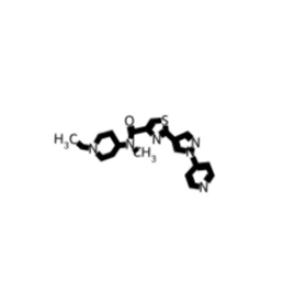 CCN1CCC(N(C)C(=O)c2csc(-c3cnn(-c4ccncc4)c3)n2)CC1